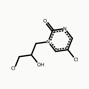 O=c1ncc(Cl)cn1CC(O)CCl